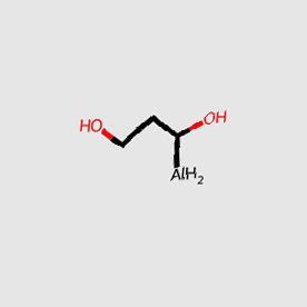 OCC[CH](O)[AlH2]